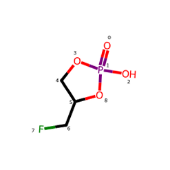 O=P1(O)OCC(CF)O1